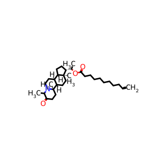 C=CCCCCCCCCC(=O)OC(C)[C@H]1CC[C@H]2[C@@H]3CCN4C(C)C(=O)CC[C@]4(C)[C@H]3CC[C@]12C